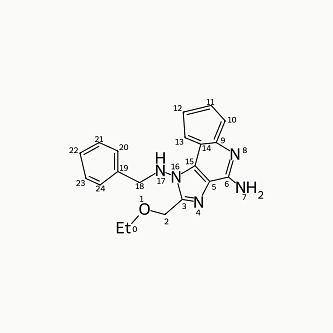 CCOCc1nc2c(N)nc3ccccc3c2n1NCc1ccccc1